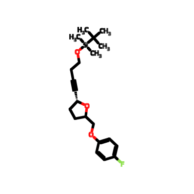 CC(C)(C)[Si](C)(C)OCCC#C[C@H]1CCC(COc2ccc(F)cc2)O1